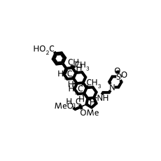 COCC(C)(OC)[C@@H]1CC[C@]2(NCCN3CCS(=O)(=O)CC3)CC[C@]3(C)[C@H](CC[C@@H]4[C@@]5(C)CC=C(c6ccc(C(=O)O)cc6)C(C)(C)[C@@H]5CC[C@]43C)[C@@H]12